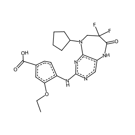 CCOc1cc(C(=O)O)ccc1Nc1ncc2c(n1)N(C1CCCC1)CC(F)(F)C(=O)N2